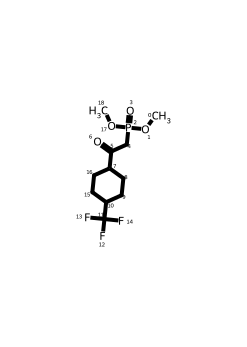 COP(=O)(CC(=O)C1CCC(C(F)(F)F)CC1)OC